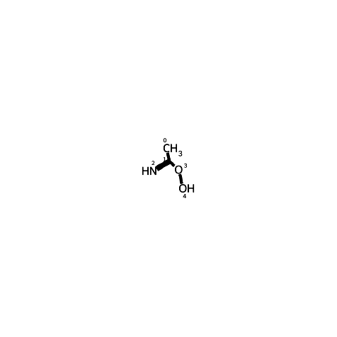 CC(=N)OO